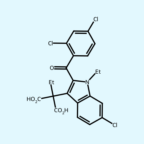 CCn1c(C(=O)c2ccc(Cl)cc2Cl)c(C(CC)(C(=O)O)C(=O)O)c2ccc(Cl)cc21